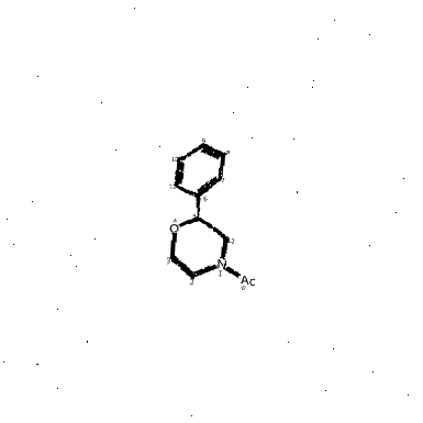 CC(=O)N1CCO[C@@H](c2ccccc2)C1